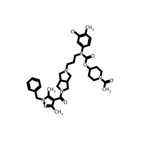 CC(=O)N1CCC(OC(=O)N(CCCN2CC3CN(C(=O)c4c(C)nn(Cc5ccccc5)c4C)CC3C2)c2ccc(C)c(Cl)c2)CC1